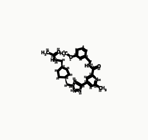 COc1cccc(CNC(=O)c2cc(-c3nnn(C[C@H]4CC[C@H](CNC(C)=O)CC4)n3)cc(C)n2)c1